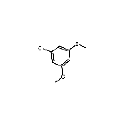 COc1cc(Cl)cc(SC)c1